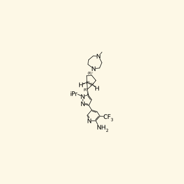 CC(C)n1nc(-c2cnc(N)c(C(F)(F)F)c2)cc1[C@H]1[C@@H]2C[C@H](N3CCCN(C)CC3)C[C@@H]21